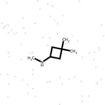 CNC1CC(C)(C)C1